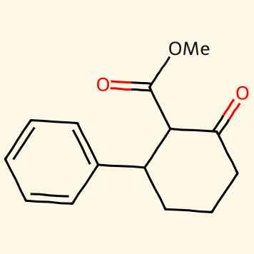 COC(=O)C1C(=O)CCCC1c1ccccc1